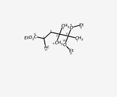 CCOC(=O)C(CC(C)(C)C(C)(OCC)OCC)C(C)=O